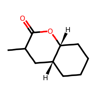 CC1C[C@H]2CCCC[C@H]2OC1=O